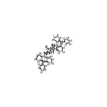 S=C(N/N=C/c1ccccc1P(c1ccccc1)c1ccccc1)N/N=C/c1ccccc1P(c1ccccc1)c1ccccc1